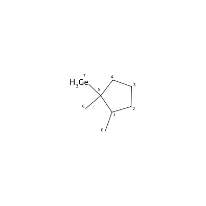 CC1CCC[C]1(C)[GeH3]